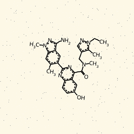 CCn1ncc(CN(C)C(=O)c2nc(-c3cc4c(N)nn(C)c4cc3C)nc3ccc(O)cc23)c1C